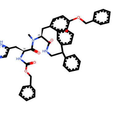 CN(C(=O)[C@H](Cc1cnc[nH]1)NC(=O)OCc1ccccc1)[C@@H](Cc1ccc(OCc2ccccc2)cc1)C(=O)NCC(c1ccccc1)c1ccccc1